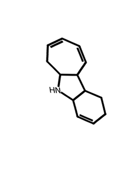 C1=CCC2NC3C=CCCC3C2C=C1